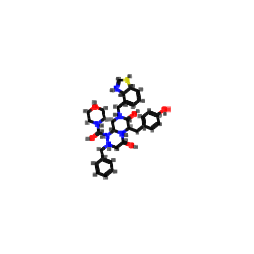 O=C1C(Cc2ccc(O)cc2)N2C(=O)CN(Cc3ccccc3)N(C(=O)N3CCOCC3)C2CN1CC1=CC=CC2SC=NC12